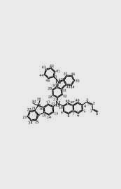 C=C/C=C\c1ccc2ccc(N(c3ccc4c(c3)C(C)(C)c3ccccc3-4)c3ccc4c(c3)c3ccccc3n4-c3ccccc3)cc2c1